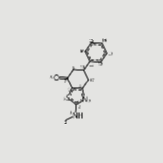 CNc1nc2c(s1)C(=O)CC(c1ccccc1)C2